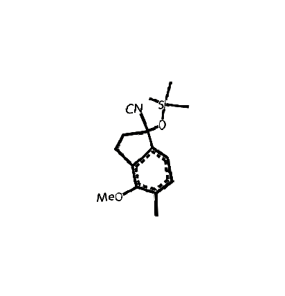 [C-]#[N+]C1(O[Si](C)(C)C)CCc2c1ccc(C)c2OC